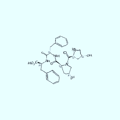 O=C(O)[C@H](Cc1ccccc1)NC(=O)[C@H](Cc1ccccc1)NC(=O)[C@@H]1C[C@@H](O)CN1C(=O)[C@@H]1C[C@@H](O)CN1